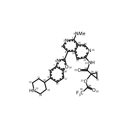 CNc1ncc(-c2nc3cc(C4CCNCC4)ccc3o2)c2cc(NC(=O)C3(OC(=O)C(F)(F)F)CC3)ncc12